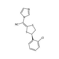 N#C/C(=C1/SC[C@@H](c2ccccc2Cl)S1)n1ccnc1